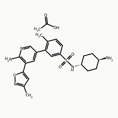 CC(=O)O.Cc1cc(-c2cc(-c3cc(S(=O)(=O)N[C@H]4CC[C@H](N)CC4)ccc3C)cnc2N)on1